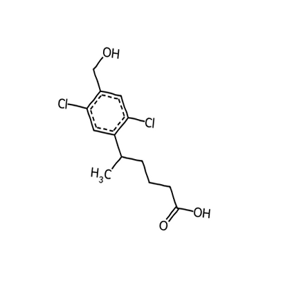 CC(CCCC(=O)O)c1cc(Cl)c(CO)cc1Cl